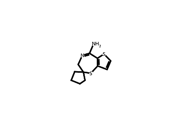 NC1=NCC2(CCCC2)Sc2ccsc21